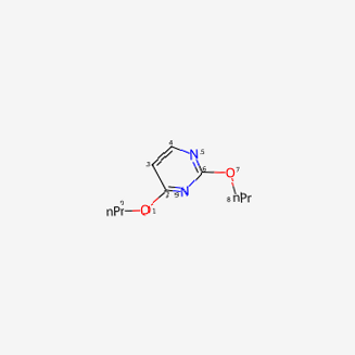 CCCOc1ccnc(OCCC)n1